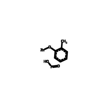 Cc1ccccc1[O][Zn].O=PO